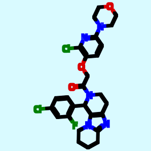 O=C(COc1ccc(N2CCOCC2)nc1Cl)N1CCc2nc3n(c2C1c1ccc(Cl)cc1F)CCCC3